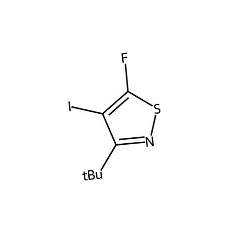 CC(C)(C)c1nsc(F)c1I